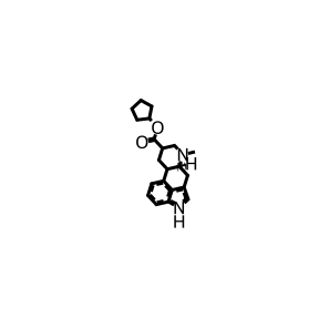 CN1CC(C(=O)OC2CCCC2)CC2c3cccc4[nH]cc(c34)C[C@H]21